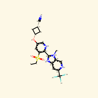 CCS(=O)(=O)c1cc(O[C@H]2C[C@@H](C#N)C2)cnc1-c1nc2cc(C(F)(F)F)ncc2n1C